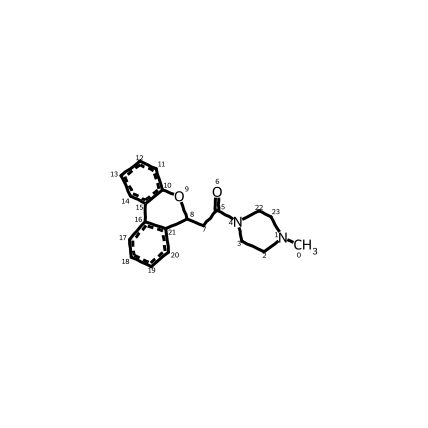 CN1CCN(C(=O)CC2Oc3ccccc3-c3ccccc32)CC1